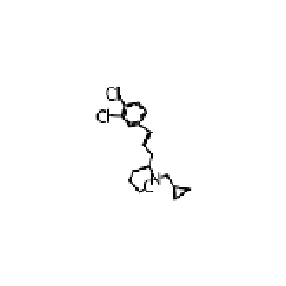 Clc1ccc(/C=C/C[C@@H]2CCCCN2CC2CC2)cc1Cl